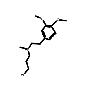 COc1ccc(CCN(C)CCCBr)cc1OC